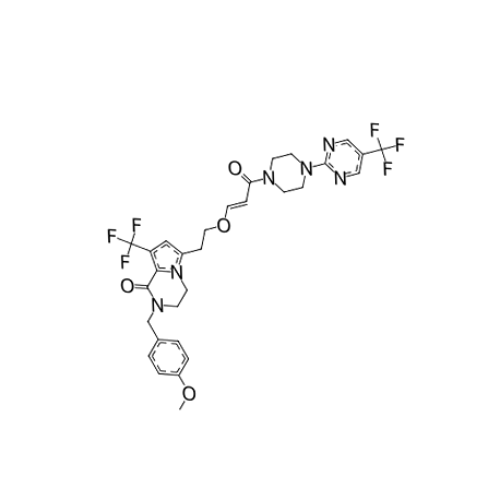 COc1ccc(CN2CCn3c(CCOC=CC(=O)N4CCN(c5ncc(C(F)(F)F)cn5)CC4)cc(C(F)(F)F)c3C2=O)cc1